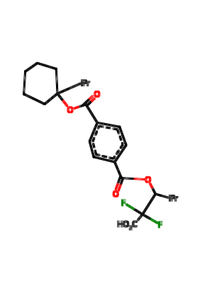 CC(C)C(OC(=O)c1ccc(C(=O)OC2(C(C)C)CCCCC2)cc1)C(F)(F)C(=O)O